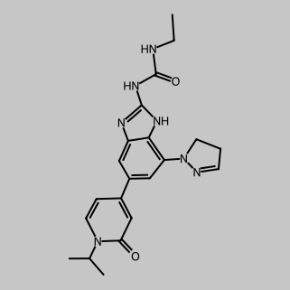 CCNC(=O)Nc1nc2cc(-c3ccn(C(C)C)c(=O)c3)cc(N3CCC=N3)c2[nH]1